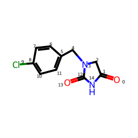 O=C1CN(Cc2ccc(Cl)cc2)C(=O)N1